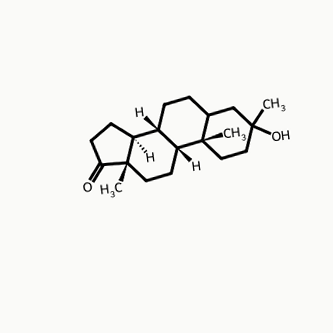 CC1(O)CC[C@@]2(C)C(CC[C@@H]3[C@H]2CC[C@]2(C)C(=O)CC[C@@H]32)C1